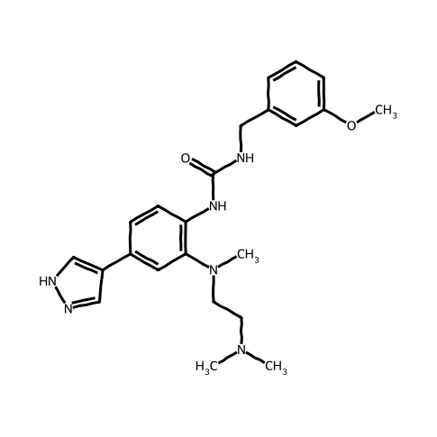 COc1cccc(CNC(=O)Nc2ccc(-c3cn[nH]c3)cc2N(C)CCN(C)C)c1